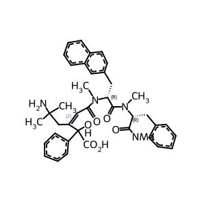 CNC(=O)[C@@H](Cc1ccccc1)N(C)C(=O)[C@@H](Cc1ccc2ccccc2c1)N(C)C(=O)/C=C(/CC(C)(C)N)C(O)(C(=O)O)c1ccccc1